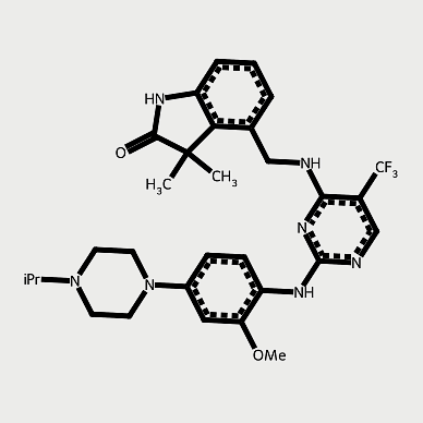 COc1cc(N2CCN(C(C)C)CC2)ccc1Nc1ncc(C(F)(F)F)c(NCc2cccc3c2C(C)(C)C(=O)N3)n1